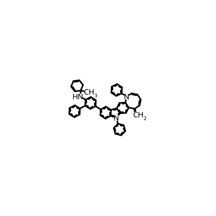 C=C1/C=C\C=C/N(c2ccccc2)c2cc3c4cc(-c5ccc(NC6(C)C=CC=CC6)c(-c6ccccc6)c5)ccc4n(-c4ccccc4)c3cc21